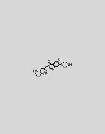 O=C(CC1NCCCC1O)Cn1cnc2cc(N3CCNCC3)c(Cl)cc2c1=O